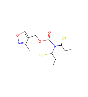 CCC(S)N(C(=O)OCc1conc1C)C(S)CC